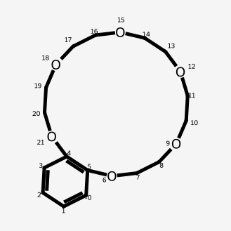 [c]1cccc2c1OCCOCCOCCOCCOCCO2